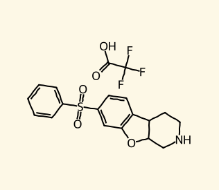 O=C(O)C(F)(F)F.O=S(=O)(c1ccccc1)c1ccc2c(c1)OC1CNCCC21